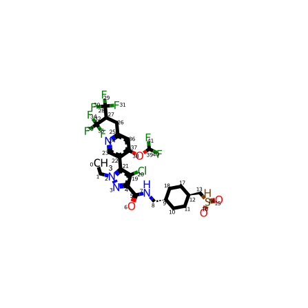 CCn1nc(C(=O)NC[C@H]2CC[C@H](C[SH](=O)=O)CC2)c(Cl)c1-c1cnc(CC(C(F)(F)F)C(F)(F)F)cc1OC(F)F